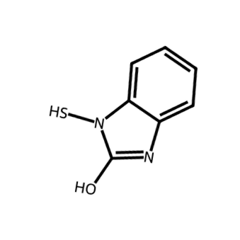 Oc1nc2ccccc2n1S